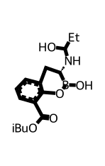 CCC(O)N[C@H]1Cc2cccc(C(=O)OCC(C)C)c2OB1O